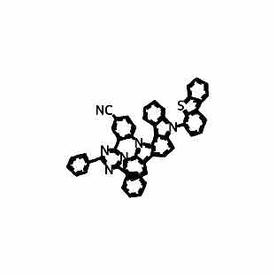 N#Cc1ccc(-n2c3ccccc3c3ccc4c(c5ccccc5n4-c4cccc5c4sc4ccccc45)c32)c(-c2nc(-c3ccccc3)nc(-c3ccccc3)n2)c1